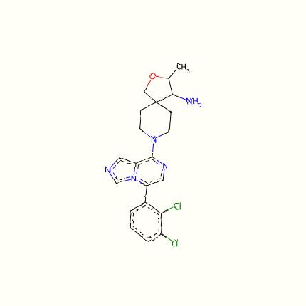 CC1OCC2(CCN(c3ncc(-c4cccc(Cl)c4Cl)n4cncc34)CC2)C1N